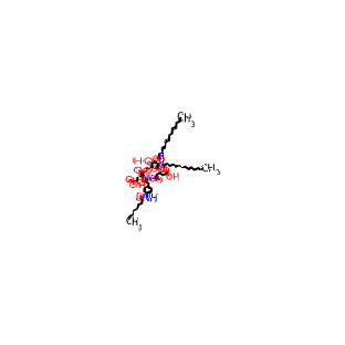 CCCCCCCCCCCCCC(=O)N[C@H]1[C@@H](OC(CC(=O)O)CC(=O)O)O[C@H](COC(=O)[C@@H](CCC(=O)O)NC(=O)Cc2ccc(NC(=O)CCCCCCC)cc2)[C@@H](O)[C@@H]1OC(=O)CCCCCCCCCCCCC